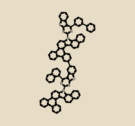 c1ccc(-c2cccc(-c3nc(-n4c5ccc6c7ccccc7c7cc(-c8ccc9oc%10nc(-n%11c%12ccc%13c%14ccccc%14c%14ccccc%14c%13c%12c%12ccc%13ccccc%13c%12%11)nc(-c%11cccc%12ccccc%11%12)c%10c9c8)ccc7c6c5c5ccc6ccccc6c54)nc4sc5ccccc5c34)c2)cc1